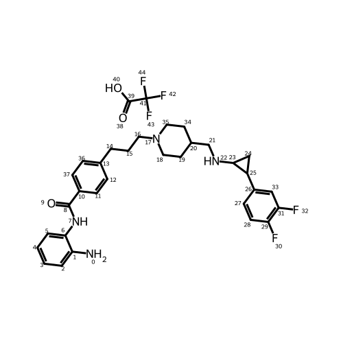 Nc1ccccc1NC(=O)c1ccc(CCCN2CCC(CNC3CC3c3ccc(F)c(F)c3)CC2)cc1.O=C(O)C(F)(F)F